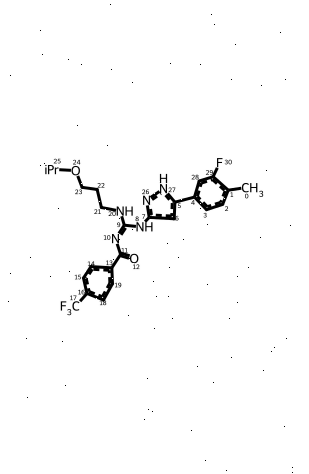 Cc1ccc(-c2cc(N/C(=N\C(=O)c3ccc(C(F)(F)F)cc3)NCCCOC(C)C)n[nH]2)cc1F